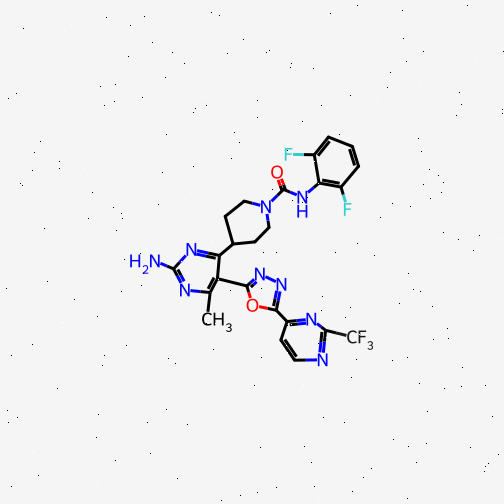 Cc1nc(N)nc(C2CCN(C(=O)Nc3c(F)cccc3F)CC2)c1-c1nnc(-c2ccnc(C(F)(F)F)n2)o1